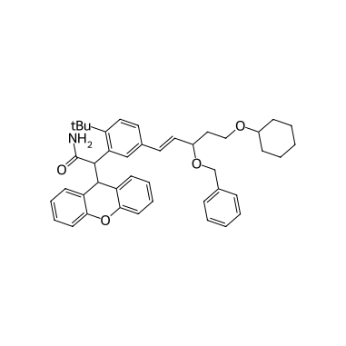 CC(C)(C)c1ccc(C=CC(CCOC2CCCCC2)OCc2ccccc2)cc1C(C(N)=O)C1c2ccccc2Oc2ccccc21